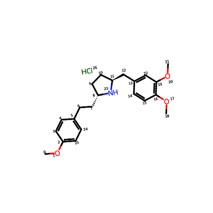 COc1ccc(CC[C@@H]2CC[C@@H](Cc3ccc(OC)c(OC)c3)N2)cc1.Cl